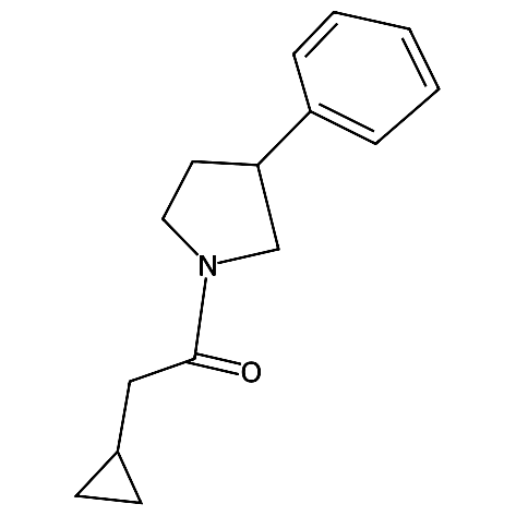 O=C(CC1CC1)N1CCC(c2ccccc2)C1